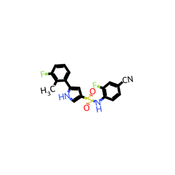 Cc1c(F)cccc1-c1cc(S(=O)(=O)Nc2ccc(C#N)cc2F)c[nH]1